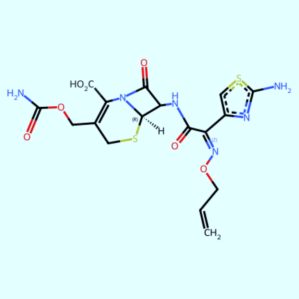 C=CCO/N=C(\C(=O)NC1C(=O)N2C(C(=O)O)=C(COC(N)=O)CS[C@H]12)c1csc(N)n1